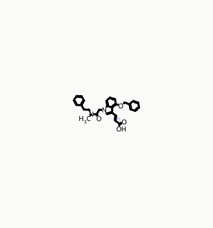 CN(CCc1ccccc1)C(=O)Cn1cc(/C=C/C(=O)O)c2c(OCc3ccccc3)cccc21